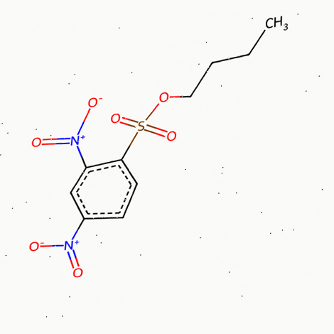 CCCCOS(=O)(=O)c1ccc([N+](=O)[O-])cc1[N+](=O)[O-]